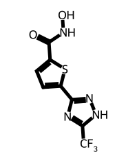 O=C(NO)c1ccc(-c2n[nH]c(C(F)(F)F)n2)s1